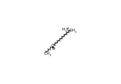 CCCCCCC(=O)OCCCCCCCCCCCCCC(C)C